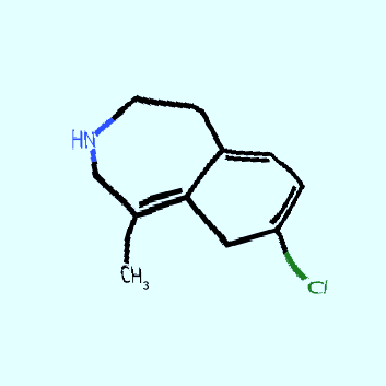 CC1=C2CC(Cl)=CC=C2CCNC1